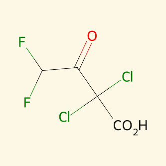 O=C(O)C(Cl)(Cl)C(=O)C(F)F